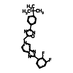 CC(C)(C)c1ccc(-c2noc(Cn3ccc4nc(-c5cccc(F)c5F)nc-4c3)n2)cc1